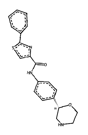 O=C(Nc1ccc([C@H]2CNCCO2)cc1)c1csc(-c2ccccc2)n1